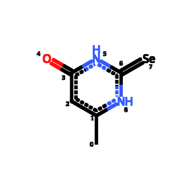 Cc1cc(=O)[nH]c(=[Se])[nH]1